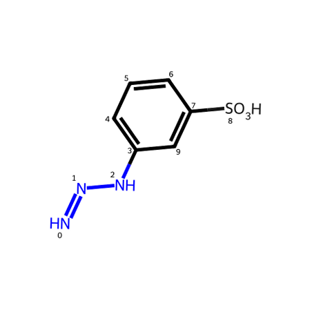 N=NNc1cccc(S(=O)(=O)O)c1